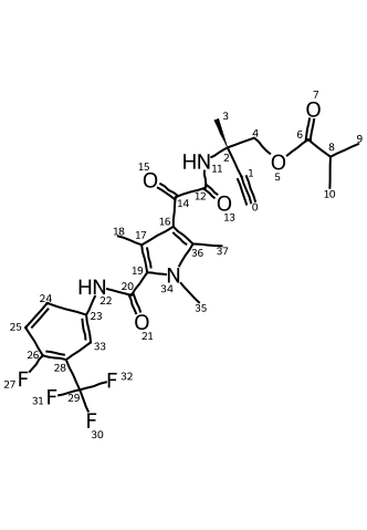 C#C[C@@](C)(COC(=O)C(C)C)NC(=O)C(=O)c1c(C)c(C(=O)Nc2ccc(F)c(C(F)(F)F)c2)n(C)c1C